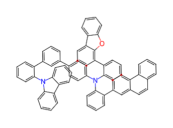 c1cc(-c2ccc(N(c3ccccc3-c3ccc4c(ccc5ccccc54)c3)c3ccccc3-c3cccc4c3oc3ccccc34)cc2)cc(-c2ccccc2-n2c3ccccc3c3ccccc32)c1